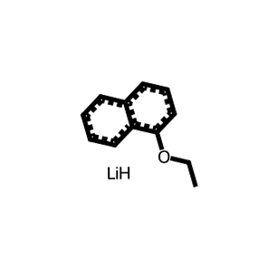 CCOc1cccc2ccccc12.[LiH]